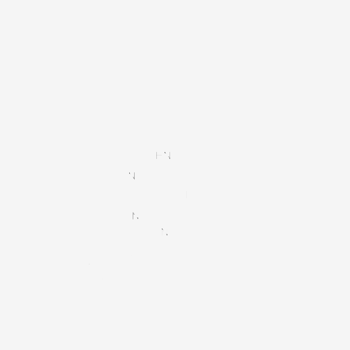 C=CCC1=CC=C(CNc2ncnc(N3CCCC3c3ccc4c(c3)C4)c2F)CC1